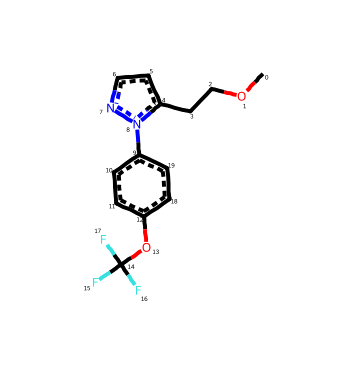 COCCc1ccnn1-c1ccc(OC(F)(F)F)cc1